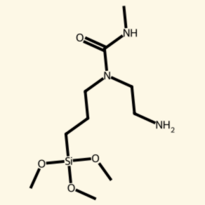 CNC(=O)N(CCN)CCC[Si](OC)(OC)OC